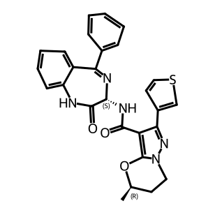 C[C@@H]1CCn2nc(-c3ccsc3)c(C(=O)N[C@H]3N=C(c4ccccc4)c4ccccc4NC3=O)c2O1